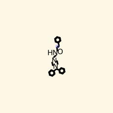 O=C(/C=C/c1ccccc1)NCCN1CCN(C(c2ccccc2)c2ccccc2)CC1